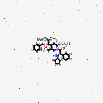 C=CC1=C(/C(OCc2ccccc2)=C(\C)OC)C[C@H](C(=O)O)N(C(=O)[C@H](NC2CCCC2)c2ccccc2)C1